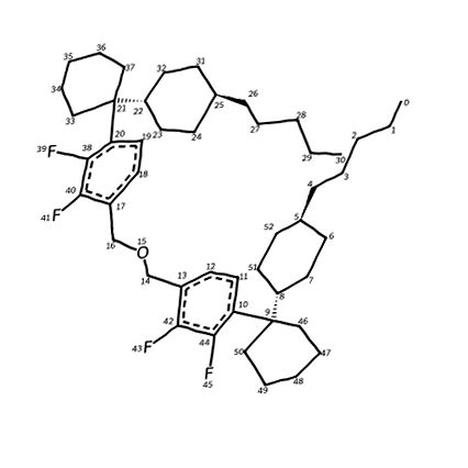 CCCCC[C@H]1CC[C@H](C2(c3ccc(COCc4ccc(C5([C@H]6CC[C@H](CCCCC)CC6)CCCCC5)c(F)c4F)c(F)c3F)CCCCC2)CC1